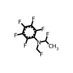 CC(F)N(CF)c1c(F)c(F)c(F)c(F)c1F